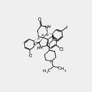 CC(C)N1CCC(Oc2ccc(I)cc2[C@H]2NC(=O)C[C@@H](C3C=CC=C(Cl)C3)[C@]23C(=O)Nc2cc(Cl)ccc23)CC1